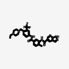 CCN1CCN(Cc2ccc(NC(=O)c3ccc(C)c(NC(=O)c4cnc5[nH]ncc5c4)c3)cc2C(F)(F)F)CC1